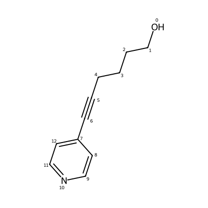 OCCCCC#Cc1ccncc1